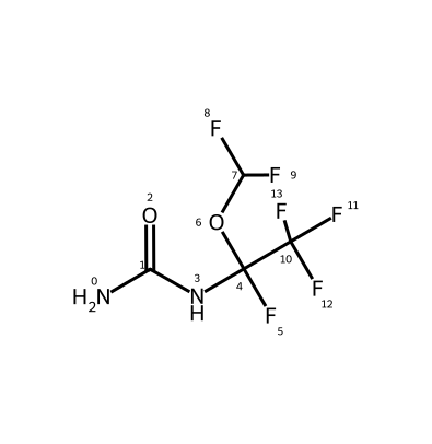 NC(=O)NC(F)(OC(F)F)C(F)(F)F